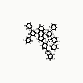 CC1(c2cc(-c3ccccc3)cc(-c3c4ccccc4c(-c4cc(-c5ccccc5)cc(-c5ccccc5)c4)c4ccc(-c5ccc(-c6nc7ccccc7n6C6=CC=CCC6)cc5)cc34)c2)C=CC=CC1